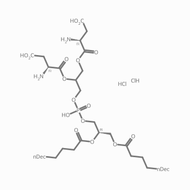 CCCCCCCCCCCCCC(=O)OC[C@H](COP(=O)(O)OCC(COC(=O)[C@@H](N)CC(=O)O)OC(=O)[C@@H](N)CC(=O)O)OC(=O)CCCCCCCCCCCCC.Cl.Cl